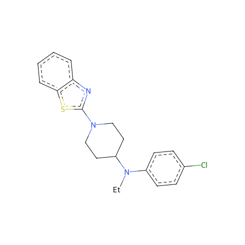 CCN(c1ccc(Cl)cc1)C1CCN(c2nc3ccccc3s2)CC1